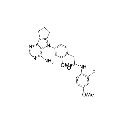 COc1ccc(NC(=O)Cc2ccc(-n3c4c(c5ncnc(N)c53)CCC4)cc2OC)c(F)c1